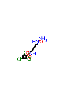 NC(=O)NCCCCCCNS(=O)(=O)c1c(Cl)cc(Cl)cc1Cl